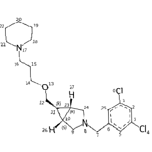 Clc1cc(Cl)cc(CN2C[C@@H]3[C@@H](COCCCN4CCCCC4)[C@@H]3C2)c1